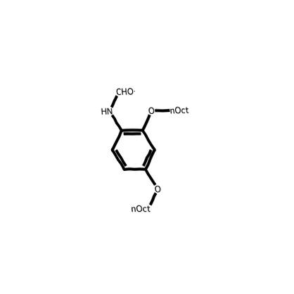 CCCCCCCCOc1ccc(N[C]=O)c(OCCCCCCCC)c1